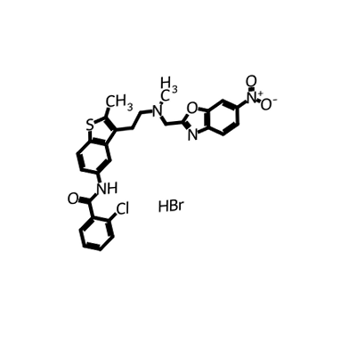 Br.Cc1sc2ccc(NC(=O)c3ccccc3Cl)cc2c1CCN(C)Cc1nc2ccc([N+](=O)[O-])cc2o1